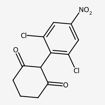 O=C1CCCC(=O)C1c1c(Cl)cc([N+](=O)[O-])cc1Cl